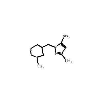 Cc1cc(N)n(CC2CCCN(C)C2)n1